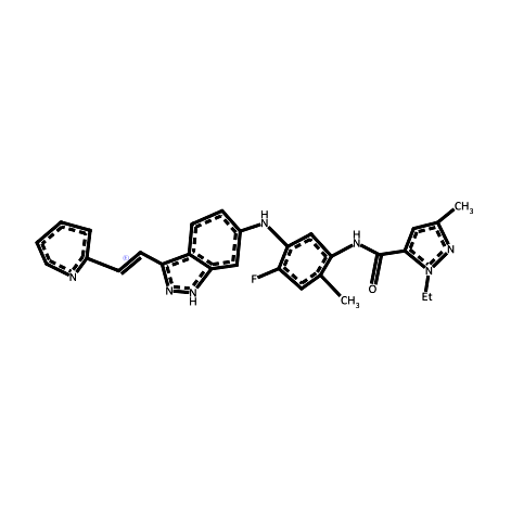 CCn1nc(C)cc1C(=O)Nc1cc(Nc2ccc3c(/C=C/c4ccccn4)n[nH]c3c2)c(F)cc1C